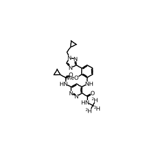 [2H]C([2H])([2H])NC(=O)c1nnc(NC(=O)C2CC2)cc1Nc1cccc(-c2ncn(CC3CC3)n2)c1OC